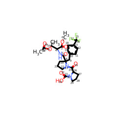 COC(=O)[C@@H](NC(=O)C1(Cc2ccc(C(F)(F)F)cc2)CCCN1C(=O)C1CCCN1C(=O)O)[C@@H](C)OC(C)=O